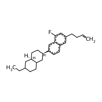 C=CCCc1cc(F)c2cc([C@@H]3CC[C@@H]4CC(CC)CCC4C3)ccc2c1